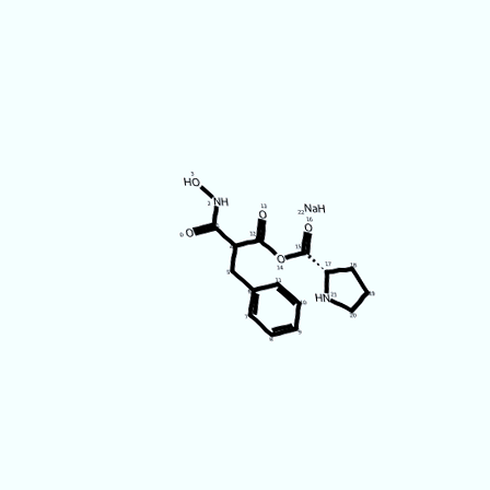 O=C(NO)C(Cc1ccccc1)C(=O)OC(=O)[C@@H]1CCCN1.[NaH]